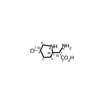 N[C@H](C(=O)O)[C@H]1CC[C@H](Cl)CN1